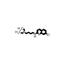 CCN(CC)CCCCNc1ccc2ccc(Cl)cc2n1